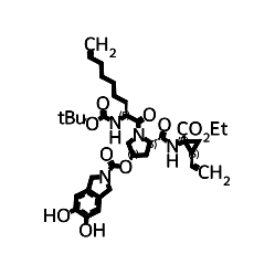 C=CCCCCC[C@H](NC(=O)OC(C)(C)C)C(=O)N1C[C@H](OC(=O)N2Cc3cc(O)c(O)cc3C2)C[C@H]1C(=O)N[C@]1(C(=O)OCC)C[C@H]1C=C